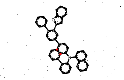 c1ccc(-c2ccc(-c3ccc(N(c4ccccc4-c4ccccc4)c4cccc5ccccc45)cc3)cc2-c2cc3ccccc3o2)cc1